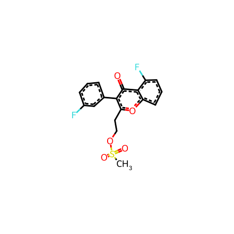 CS(=O)(=O)OCCc1oc2cccc(F)c2c(=O)c1-c1cccc(F)c1